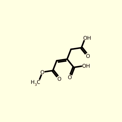 COC(=O)C=C(CC(=O)O)C(=O)O